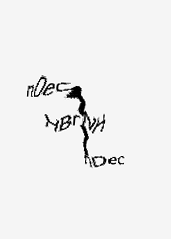 Br.CCCCCCCCCCCCCCNCCCCCCCCCCCCCC